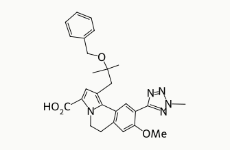 COc1cc2c(cc1-c1nnn(C)n1)-c1c(CC(C)(C)OCc3ccccc3)cc(C(=O)O)n1CC2